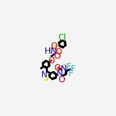 Cc1ccc(OCC(=O)NS(=O)(=O)c2cccc(Cl)c2)cc1-c1nsc2ccc(-n3c(=O)cc(C(F)(F)F)n(C)c3=O)cc12